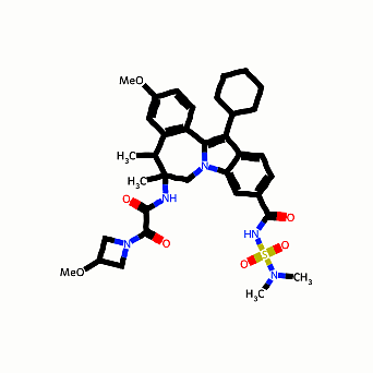 COc1ccc2c(c1)C(C)C(C)(NC(=O)C(=O)N1CC(OC)C1)Cn1c-2c(C2CCCCC2)c2ccc(C(=O)NS(=O)(=O)N(C)C)cc21